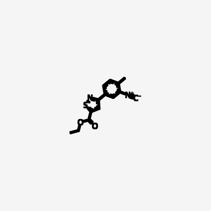 [C-]#[N+]c1cc(-c2cc(C(=O)OCC)sn2)ccc1C